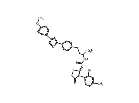 Cc1ccc(N2C(=O)CS/C2=N\C(=S)NC(CCc2ccc(-c3ncn(-c4ccc(OC(F)(F)F)cc4)n3)cc2)C(=O)O)c(C(C)C)c1